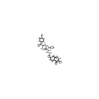 Cl.O=C(c1ccc(F)cc1)C1CCN(CCCOc2ccc3c(=O)c(Cl)coc3c2)CC1